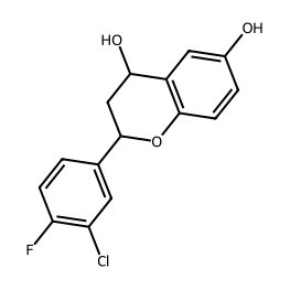 Oc1ccc2c(c1)C(O)CC(c1ccc(F)c(Cl)c1)O2